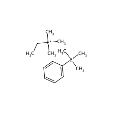 CC[P+](C)(C)C.C[B-](C)(C)c1ccccc1